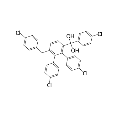 OC(O)(c1ccc(Cl)cc1)c1ccc(Cc2ccc(Cl)cc2)c(-c2ccc(Cl)cc2)c1-c1ccc(Cl)cc1